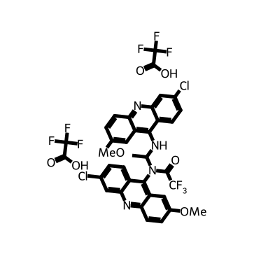 COc1ccc2nc3cc(Cl)ccc3c(NC(C)N(C(=O)C(F)(F)F)c3c4ccc(Cl)cc4nc4ccc(OC)cc34)c2c1.O=C(O)C(F)(F)F.O=C(O)C(F)(F)F